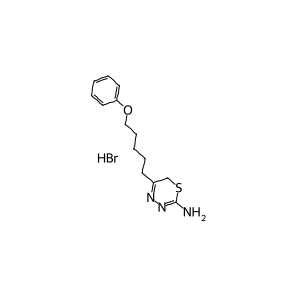 Br.NC1=NN=C(CCCCCOc2ccccc2)CS1